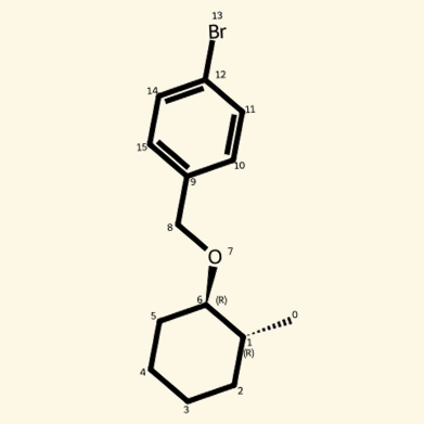 C[C@@H]1CCCC[C@H]1OCc1ccc(Br)cc1